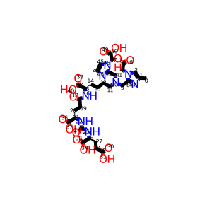 Cc1cn(CC(=O)O)c(CN(CCCC[C@H](NC(=O)CC[C@H](NC(=O)N[C@@H](CCC(=O)O)C(=O)O)C(=O)O)C(=O)O)Cc2nccn2CC(=O)O)n1